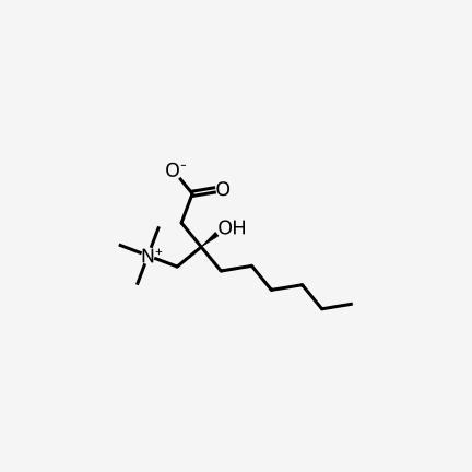 CCCCCC[C@@](O)(CC(=O)[O-])C[N+](C)(C)C